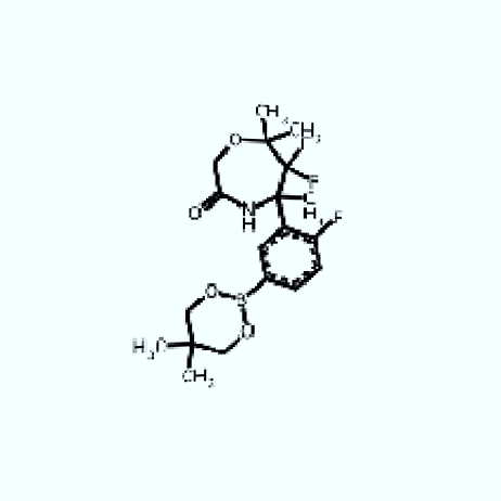 CC1(C)COB(c2ccc(F)c(C3(C)NC(=O)COC(C)(C)C3(F)F)c2)OC1